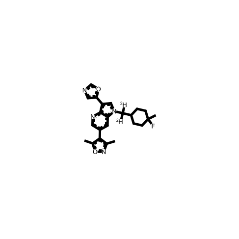 [2H]C([2H])(C1CCC(C)(F)CC1)n1cc(-c2cnco2)c2ncc(-c3c(C)noc3C)cc21